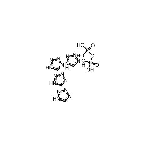 O=P(O)(O)OP(=O)(O)O.c1nnn[nH]1.c1nnn[nH]1.c1nnn[nH]1.c1nnn[nH]1